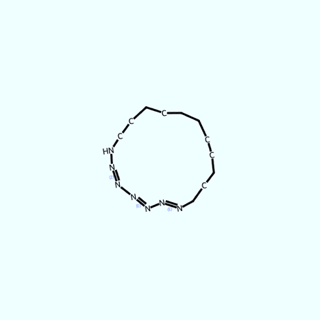 C1CCCCC/N=N/N=N/N=N\NCCCCC1